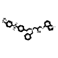 COc1ccc(S(=O)(=O)c2ccc(CCN(Cc3ccccc3)CC(O)COc3cccc4[nH]ccc34)cc2)cc1